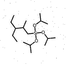 CCC(CC)C(C)C[Si](OC(C)C)(OC(C)C)OC(C)C